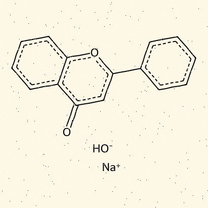 O=c1cc(-c2ccccc2)oc2ccccc12.[Na+].[OH-]